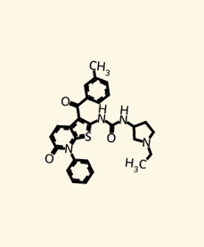 CCN1CCC(NC(=O)Nc2sc3c(ccc(=O)n3-c3ccccc3)c2C(=O)c2cccc(C)c2)C1